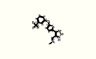 C/N=C/c1[nH]nnc1-c1ccc(Oc2cccc(C(F)(F)F)c2)s1